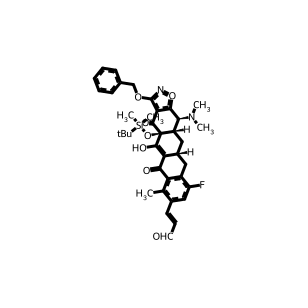 Cc1c(/C=C/C=O)cc(F)c2c1C(=O)C1=C(O)[C@]3(O[Si](C)(C)C(C)(C)C)C(=O)c4c(OCc5ccccc5)noc4[C@@H](N(C)C)[C@@H]3C[C@@H]1C2